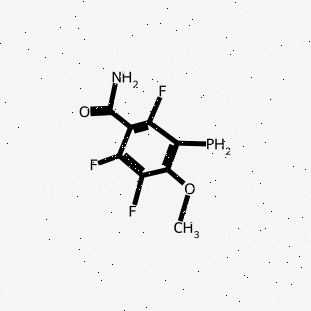 COc1c(F)c(F)c(C(N)=O)c(F)c1P